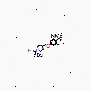 C=Cc1c(C)cc(OCC2CCN(C(CC)CCCC)CC2)cc1NC